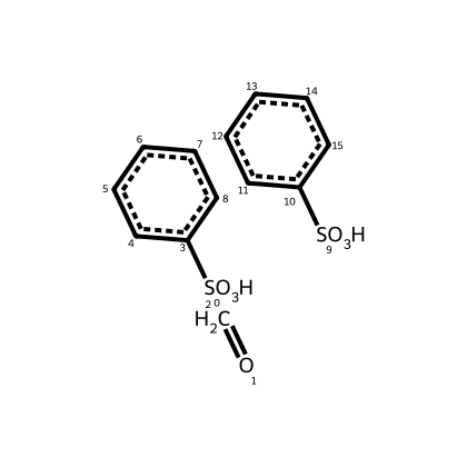 C=O.O=S(=O)(O)c1ccccc1.O=S(=O)(O)c1ccccc1